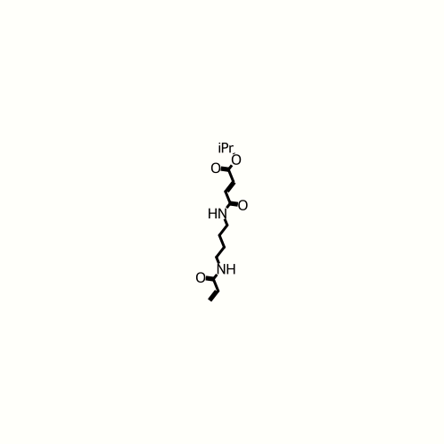 C=CC(=O)NCCCCNC(=O)/C=C/C(=O)OC(C)C